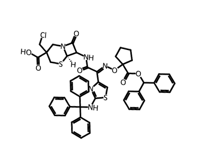 O=C(NC1C(=O)N2CC(CCl)(C(=O)O)CS[C@H]12)C(=NOC1(C(=O)OC(c2ccccc2)c2ccccc2)CCCC1)c1csc(NC(c2ccccc2)(c2ccccc2)c2ccccc2)n1